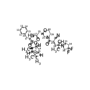 CC1(C)[C@@H]2C[C@H]3OB(C(Cc4ccccc4)NC(=O)C[C@H]4CN(C(=O)C(C#N)=CC(C)(C)N5CCC(F)(F)C5)CCO4)O[C@@]3(C)[C@H]1C2